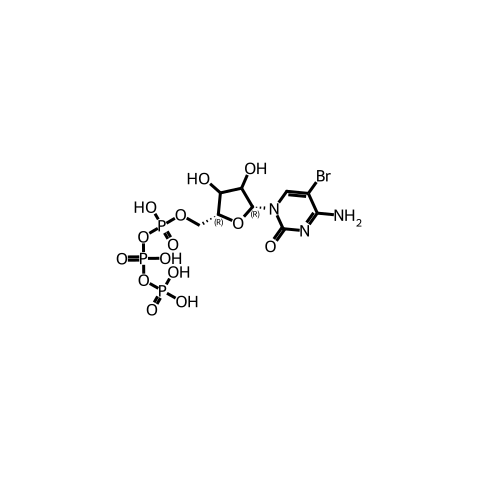 Nc1nc(=O)n([C@@H]2O[C@H](COP(=O)(O)OP(=O)(O)OP(=O)(O)O)C(O)C2O)cc1Br